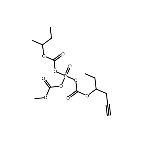 C#CCC(CC)OC(=O)OP(=O)(OC(=O)OC)OC(=O)OC(C)CC